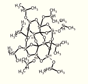 C[SiH](C)O[Si]12O[Si]3(O[SiH](C)C)OC45O[Si@@](O[SiH](C)C)(O1)C16O[Si]4(O[SiH](C)C)O[Si@@](O[SiH](C)C)(O[Si@@](O[SiH](C)C)(O1)O[Si]6(O[SiH](C)C)O2)O[Si@@]5(O[SiH](C)C)O3